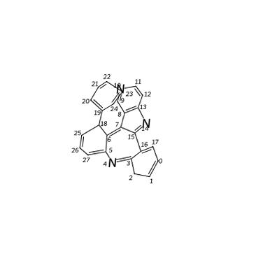 C1=CCc2nc3c(c4c5cnccc5nc-4c2=C1)C(c1ccccc1)C=CC=3